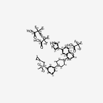 CS(=O)(=O)N(CC1CC1)c1cccc(N2CCN(c3ncnc4ccc(-c5cn[nH]c5)cc34)CC2)c1.O=C(O)C(F)(F)F.O=C(O)C(F)(F)F.O=C(O)C(F)(F)F